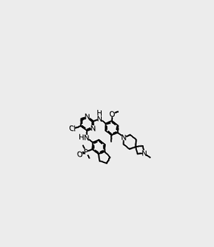 COc1cc(N2CCC3(CC2)CN(C)C3)c(C)cc1Nc1ncc(Cl)c(Nc2ccc3c(c2P(C)(C)=O)CCC3)n1